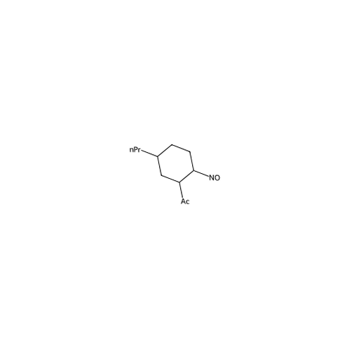 CCCC1CCC(N=O)C(C(C)=O)C1